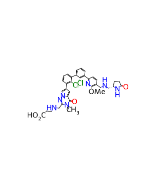 COc1nc(-c2cccc(-c3cccc(-c4cc5c(=O)n(C)c(CNCCC(=O)O)nn5c4)c3Cl)c2Cl)ccc1CNC[C@@H]1CCC(=O)N1